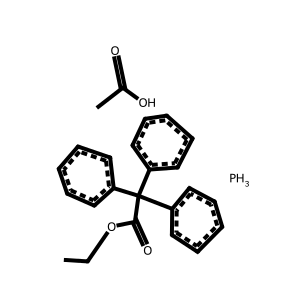 CC(=O)O.CCOC(=O)C(c1ccccc1)(c1ccccc1)c1ccccc1.P